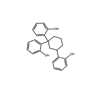 Oc1ccccc1C1CCCC(c2ccccc2O)(c2ccccc2O)C1